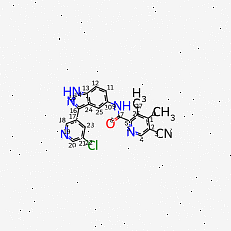 Cc1c(C#N)cnc(C(=O)Nc2ccc3[nH]nc(-c4cncc(Cl)c4)c3c2)c1C